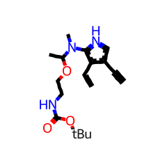 C#Cc1c[nH]c(N(C)C(C)OCCNC(=O)OC(C)(C)C)c1C=C